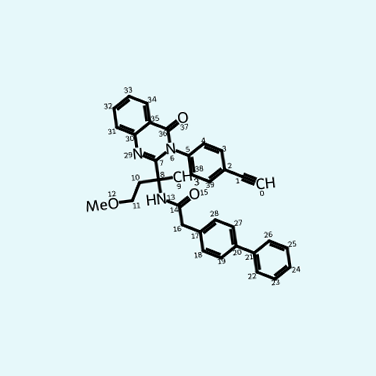 C#Cc1ccc(-n2c(C(C)(CCOC)NC(=O)Cc3ccc(-c4ccccc4)cc3)nc3ccccc3c2=O)cc1